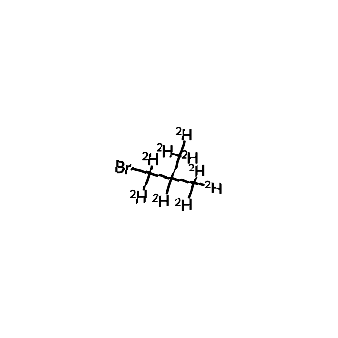 [2H]C([2H])([2H])C([2H])(C([2H])([2H])[2H])C([2H])([2H])Br